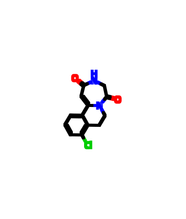 O=C1C=C2c3cccc(Cl)c3CCN2C(=O)CN1